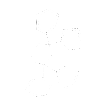 c1ccc(C2(c3ccccc3)CCCC(c3ccccc3)(c3ccccc3)N2)cc1